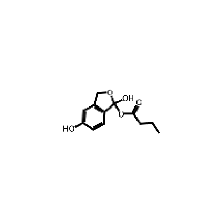 CCCC(=O)OC1(O)OCc2cc(O)ccc21